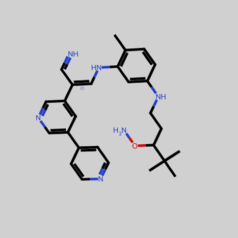 Cc1ccc(NCCC(ON)C(C)(C)C)cc1N/C=C(\C=N)c1cncc(-c2ccncc2)c1